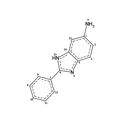 Nc1ccc2nc(-c3ccccc3)[nH]c2c1